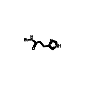 CCNC(=O)CCc1c[nH]cn1